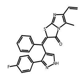 C=Cc1nc2sc(=C(c3ccccc3)c3c[nH]nc3-c3ccc(F)cc3)c(=O)n2c1C